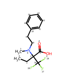 CCC(C(=O)O)(N(C)CCc1ccccc1)C(F)(F)F